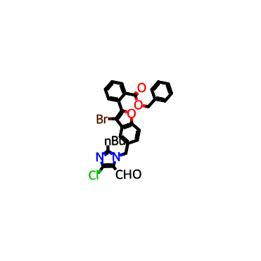 CCCCc1nc(Cl)c(C=O)n1Cc1ccc2oc(-c3ccccc3C(=O)OCc3ccccc3)c(Br)c2c1